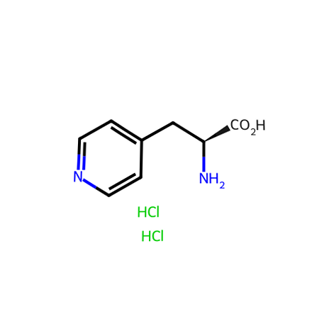 Cl.Cl.N[C@@H](Cc1ccncc1)C(=O)O